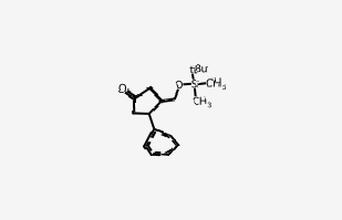 CC(C)(C)[Si](C)(C)OCC1CC(=O)CC1c1ccccc1